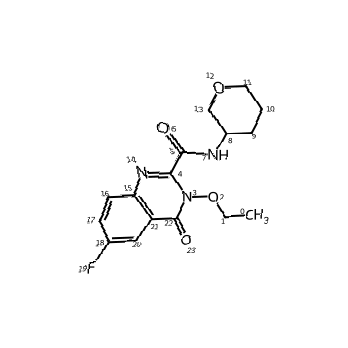 CCOn1c(C(=O)NC2CCCOC2)nc2ccc(F)cc2c1=O